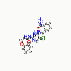 NC(=O)c1ccccc1CNc1nc(NC2CCOc3ccccc3O2)ncc1Cl